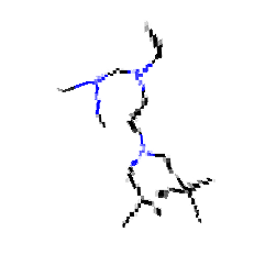 CCN(CCN(CC(C)C)CC(C)(C)C)CN(C)C